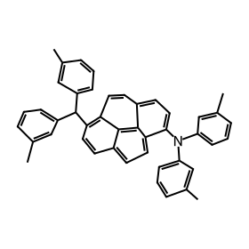 Cc1cccc(C(c2cccc(C)c2)c2ccc3ccc4c(N(c5cccc(C)c5)c5cccc(C)c5)ccc5ccc2c3c54)c1